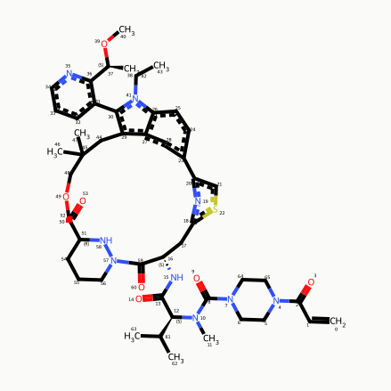 C=CC(=O)N1CCN(C(=O)N(C)[C@H](C(=O)N[C@H]2Cc3nc(cs3)-c3ccc4c(c3)c(c(-c3cccnc3[C@H](C)OC)n4CC)CC(C)(C)COC[C@@]3(C=O)CCCN(N3)C2=O)C(C)C)CC1